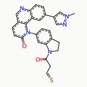 Cn1cc(-c2ccc3ncc4ccc(=O)n(-c5ccc6c(c5)N(C(=O)CC=S)CC6)c4c3c2)cn1